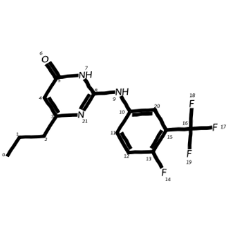 CCCc1cc(=O)[nH]c(Nc2ccc(F)c(C(F)(F)F)c2)n1